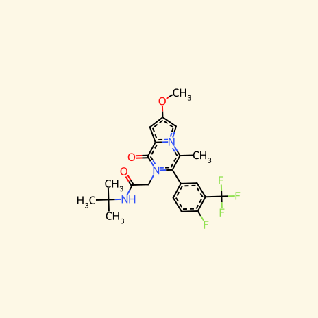 COc1cc2c(=O)n(CC(=O)NC(C)(C)C)c(-c3ccc(F)c(C(F)(F)F)c3)c(C)n2c1